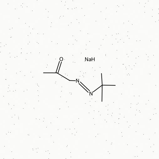 CC(=O)CN=NC(C)(C)C.[NaH]